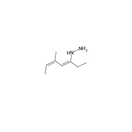 C/C=C(C)\C=C(\CC)NN